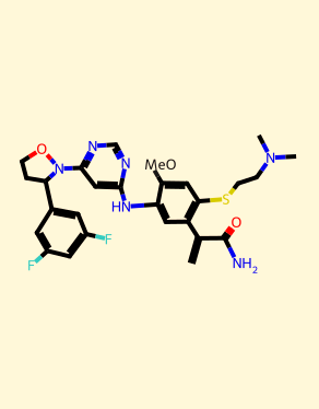 C=C(C(N)=O)c1cc(Nc2cc(N3OCCC3c3cc(F)cc(F)c3)ncn2)c(OC)cc1SCCN(C)C